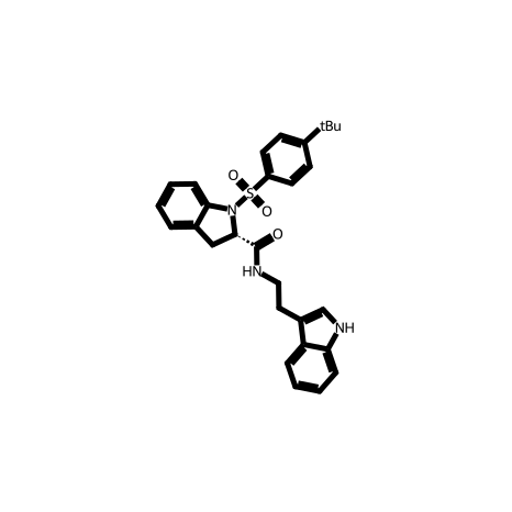 CC(C)(C)c1ccc(S(=O)(=O)N2c3ccccc3C[C@H]2C(=O)NCCc2c[nH]c3ccccc23)cc1